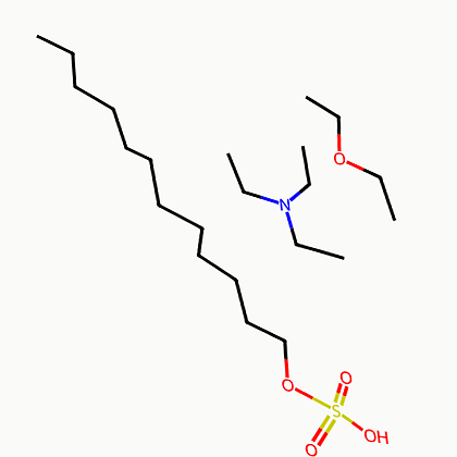 CCCCCCCCCCCCOS(=O)(=O)O.CCN(CC)CC.CCOCC